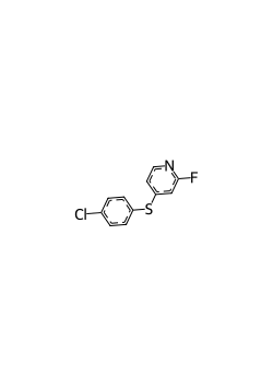 Fc1cc(Sc2ccc(Cl)cc2)ccn1